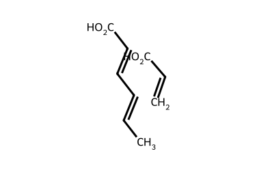 C=CC(=O)O.CC=CC=CC(=O)O